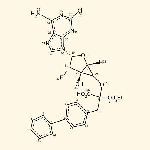 CCOC(=O)[C@@](Cc1ccc(-c2ccccc2)cc1)(OC1[C@H]2O[C@@H](n3cnc4c(N)nc(Cl)nc43)[C@@H](F)[C@@]12O)C(=O)O